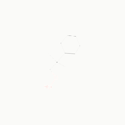 CC(C)(COO)C1CCCCC1